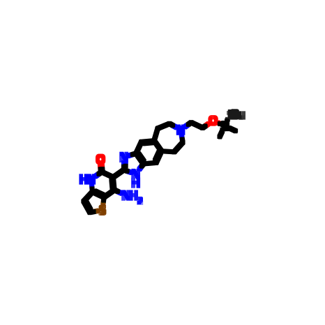 CC(C)(C)[Si](C)(C)OCCN1CCc2cc3nc(-c4c(N)c5sccc5[nH]c4=O)[nH]c3cc2CC1